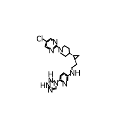 Clc1cnc(N2CCC([C@H]3C[C@H]3CCNc3ccc(N4C=NNN4)nc3)CC2)nc1